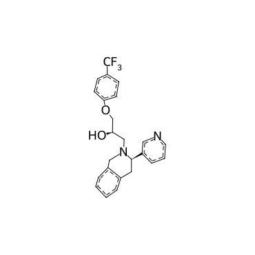 O[C@@H](COc1ccc(C(F)(F)F)cc1)CN1Cc2ccccc2C[C@@H]1c1cccnc1